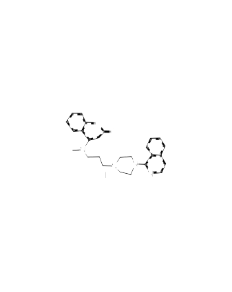 CN(CCCN1CCN(c2nccc3ccccc23)CC1)c1cc(=O)oc2ccccc12.Cl